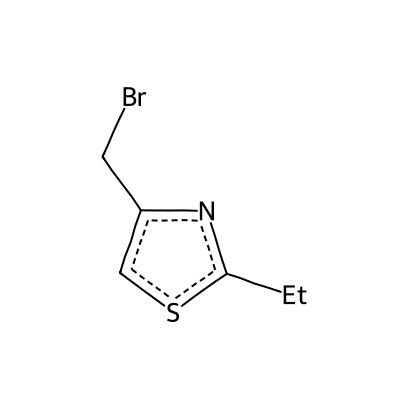 CCc1nc(CBr)cs1